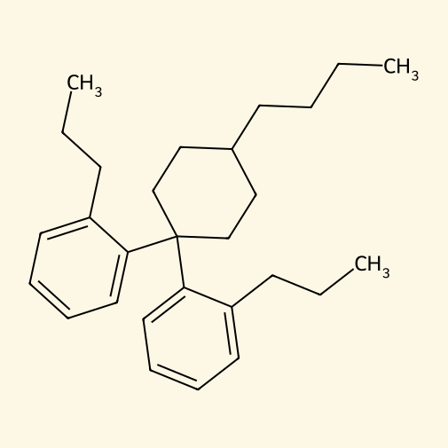 CCCCC1CCC(c2ccccc2CCC)(c2ccccc2CCC)CC1